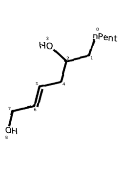 CCCCCCC(O)CC=CCO